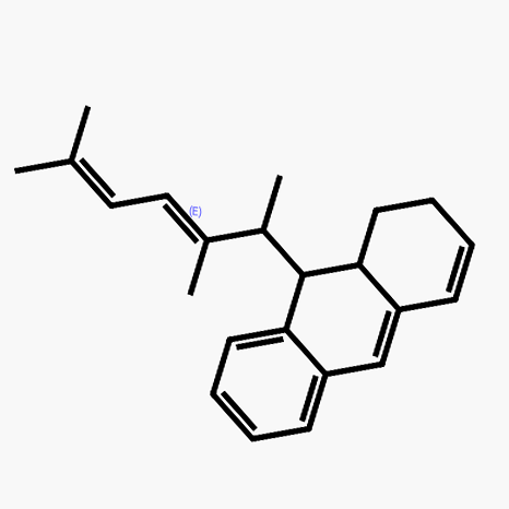 CC(C)=C/C=C(\C)C(C)C1c2ccccc2C=C2C=CCCC21